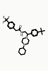 CC(C)(C)c1ccc(C(CNC(=O)Cc2ccc(C(F)(F)F)cc2)N2CCN(C3CCCCC3)CC2)cc1